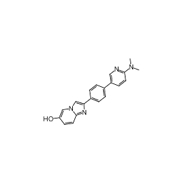 CN(C)c1ccc(-c2ccc(-c3cn4cc(O)ccc4n3)cc2)cn1